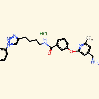 Cl.NCc1cc(Oc2cccc(C(=O)NCCCCc3cn(-c4ccccc4)nn3)c2)nc(C(F)(F)F)c1